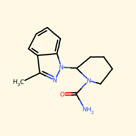 Cc1nn(C2CCCCN2C(N)=O)c2ccccc12